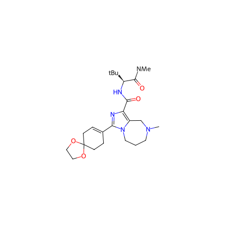 CNC(=O)[C@@H](NC(=O)c1nc(C2=CCC3(CC2)OCCO3)n2c1CN(C)CCC2)C(C)(C)C